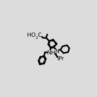 CC(C)CN(c1ccc(C(C)CC(=O)O)cc1NCc1ccccc1)C1CCCCC1